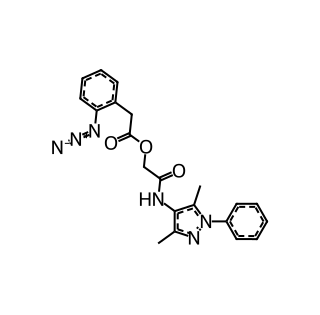 Cc1nn(-c2ccccc2)c(C)c1NC(=O)COC(=O)Cc1ccccc1N=[N+]=[N-]